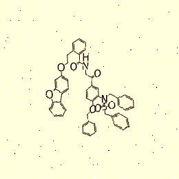 O=C(CNC(=O)c1ccccc1CCOc1ccc2c(c1)oc1ccccc12)c1ccc(OCc2ccccc2)c(N(Cc2ccccc2)S(=O)(=O)Cc2ccccc2)c1